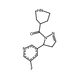 O=C(C1CCNCC1)N1N=CCC1c1cncc(F)c1